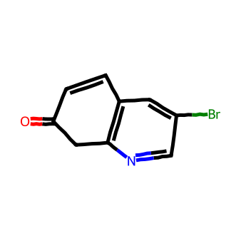 O=C1C=Cc2cc(Br)cnc2C1